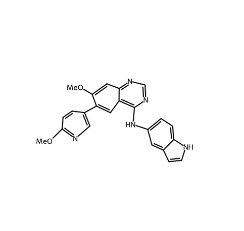 COc1ccc(-c2cc3c(Nc4ccc5[nH]ccc5c4)ncnc3cc2OC)cn1